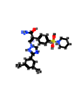 NC(=O)/C(=C/n1cnc(-c2cc(C(F)(F)F)cc(C(F)(F)F)c2)n1)c1ccc(S(=O)(=O)N2CCCCC2)cc1